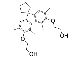 Cc1cc(C2(c3cc(C)c(OCCO)c(C)c3)CCCC2)cc(C)c1OCCO